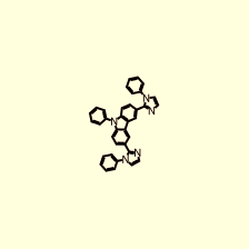 c1ccc(-n2ccnc2-c2ccc3c(c2)c2cc(-c4nccn4-c4ccccc4)ccc2n3-c2ccccc2)cc1